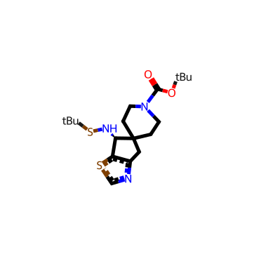 CC(C)(C)OC(=O)N1CCC2(CC1)Cc1ncsc1[C@@H]2NSC(C)(C)C